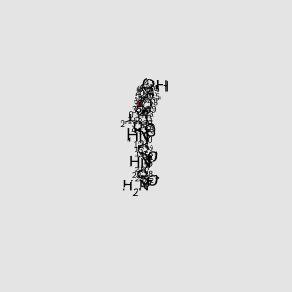 C=C(C)[C@@H]1CC[C@]2(C(=O)NCc3cccc(C(=O)NCc4cccc(C(N)=O)c4)c3)CC[C@]3(C)C(CCC4[C@@]5(C)CC[C@H](O)C(C)(C)C5CC[C@]43C)C12